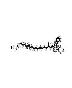 C=C(CCCCCCCCCCCCCCCCCC)[N+](C)(C)Cc1ccccc1